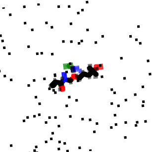 C=CC(=O)NCOCCCC(C)(C)O.Cl.N